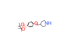 CC1(C)OB(c2ccc(OCC3CCNCC3)cc2)OC1(C)C